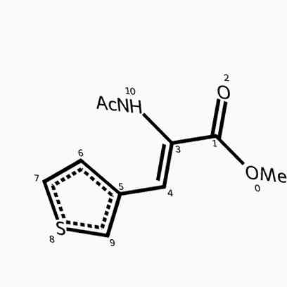 COC(=O)/C(=C/c1ccsc1)NC(C)=O